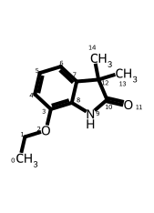 CCOc1cccc2c1NC(=O)C2(C)C